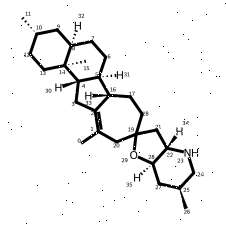 CC1=C2C[C@H]3[C@@H](CC[C@@H]4C[C@@H](C)CC[C@@]43C)[C@@H]2CCC2(C1)C[C@@H]1NC[C@@H](C)C[C@H]1O2